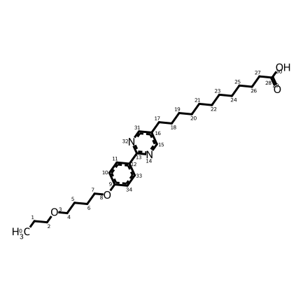 CCCOCCCCOc1ccc(-c2ncc(CCCCCCCCCCCC(=O)O)cn2)cc1